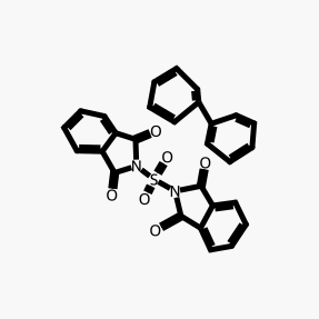 O=C1c2ccccc2C(=O)N1S(=O)(=O)N1C(=O)c2ccccc2C1=O.c1ccc(-c2ccccc2)cc1